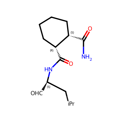 CC(C)C[C@@H](C=O)NC(=O)[C@@H]1CCCC[C@@H]1C(N)=O